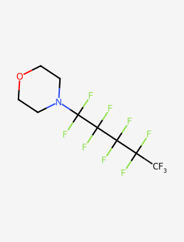 FC(F)(F)C(F)(F)C(F)(F)C(F)(F)C(F)(F)N1CCOCC1